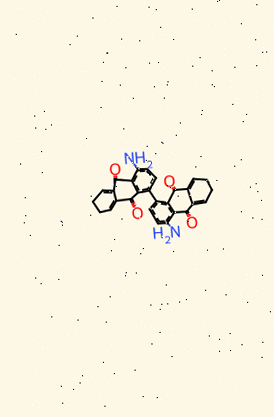 Nc1ccc(-c2ccc(N)c3c2C(=O)C2=CCCC=C2C3=O)c2c1C(=O)C1=CCCC=C1C2=O